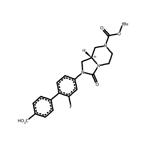 CC(C)(C)OC(=O)N1CCN2C(=O)N(c3ccc(-c4ccc(C(=O)O)cc4)c(F)c3)C[C@@H]2C1